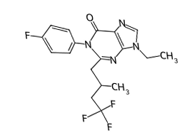 CCn1cnc2c(=O)n(-c3ccc(F)cc3)c(CC(C)CC(F)(F)F)nc21